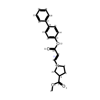 COC(=O)C1CCN(/C=C/C(=O)Oc2ccc(-c3ccccc3)cc2)C1